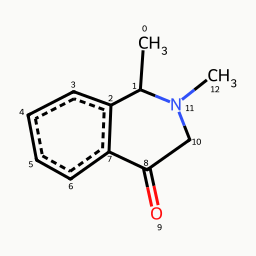 CC1c2ccccc2C(=O)CN1C